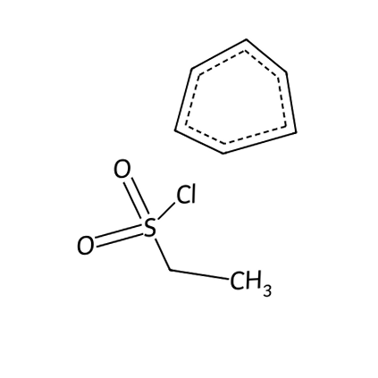 CCS(=O)(=O)Cl.c1ccccc1